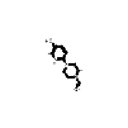 O=CN1CCN(c2ccc(O)cn2)CC1